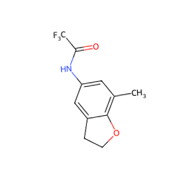 Cc1cc(NC(=O)C(F)(F)F)cc2c1OCC2